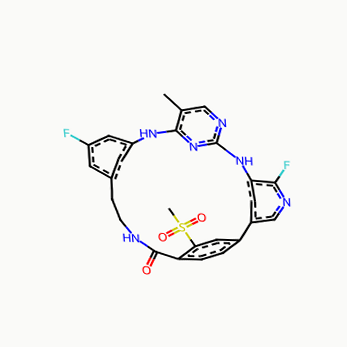 Cc1cnc2nc1Nc1cc(F)cc(c1)CCNC(=O)c1ccc(cc1S(C)(=O)=O)-c1cnc(F)c(c1)N2